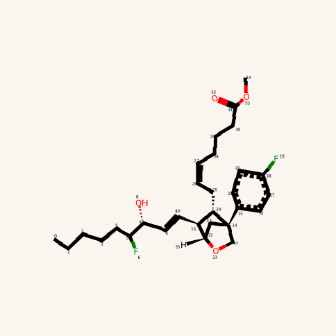 CCCCCC(F)[C@H](O)/C=C/[C@@H]1[C@@H]2C[C@@](c3ccc(F)cc3)(CO2)[C@H]1C/C=C\CCCC(=O)OC